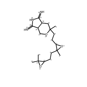 CC1(CCC2OC2(C)CCC2OC2(C)C)CC2C(=N)NC(=N)C2CO1